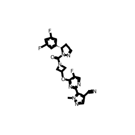 Cn1ncc(C#N)c1-c1ncc(F)c(OC2CN(C(=O)N3N=CC[C@H]3c3cc(F)cc(F)c3)C2)n1